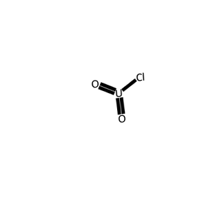 [O]=[U](=[O])[Cl]